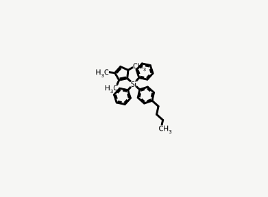 CCCCc1ccc([Si](C2=C(C)C(C)=CC2C)(c2ccccc2)c2ccccc2)cc1